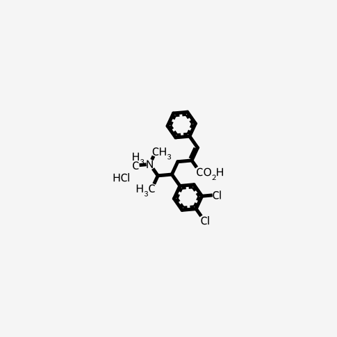 CC(C(CC(=Cc1ccccc1)C(=O)O)c1ccc(Cl)c(Cl)c1)N(C)C.Cl